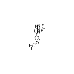 CC(F)(F)c1nnc2ccc(-c3ccc(OC4CC(F)(F)C4)nc3)nn12